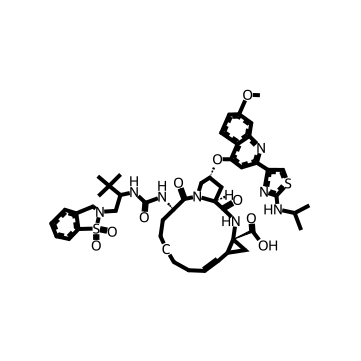 COc1ccc2c(O[C@@H]3C[C@H]4C(=O)N[C@]5(C(=O)O)CC5/C=C\CCCCC[C@H](NC(=O)NC(CN5Cc6ccccc6S5(=O)=O)C(C)(C)C)C(=O)N4C3)cc(-c3csc(NC(C)C)n3)nc2c1